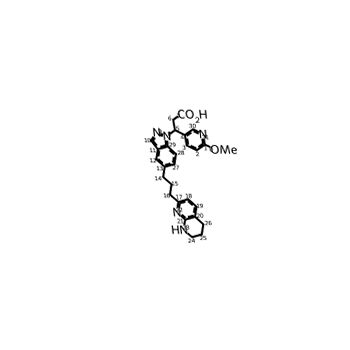 COc1ccc(C(CC(=O)O)n2ncc3cc(CCCc4ccc5c(n4)NCCC5)ccc32)cn1